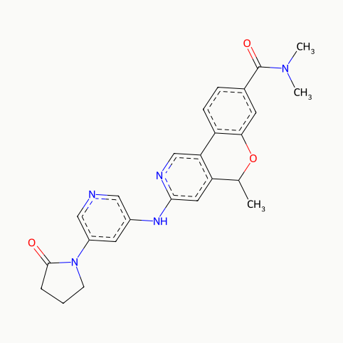 CC1Oc2cc(C(=O)N(C)C)ccc2-c2cnc(Nc3cncc(N4CCCC4=O)c3)cc21